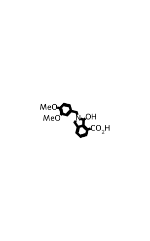 COc1ccc(CN2Cc3cccc(C(=O)O)c3C2O)cc1OC